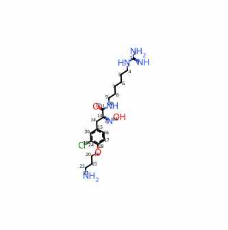 N=C(N)NCCCCCCNC(=O)C(Cc1ccc(OCCCN)c(Cl)c1)=NO